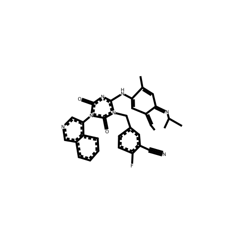 C/C=C1/C=C(Nc2nc(=O)n(-c3cncc4ccccc34)c(=O)n2Cc2ccc(F)c(C#N)c2)C(C)=C/C1=N/C(C)C